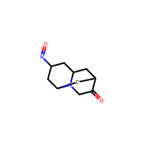 O=NC1CC2CC3CC(C1)N2CC3=O